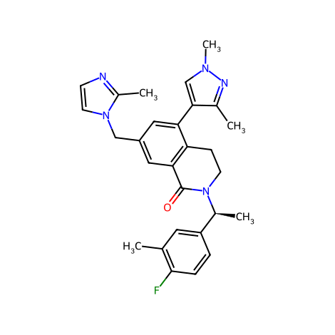 Cc1cc([C@H](C)N2CCc3c(cc(Cn4ccnc4C)cc3-c3cn(C)nc3C)C2=O)ccc1F